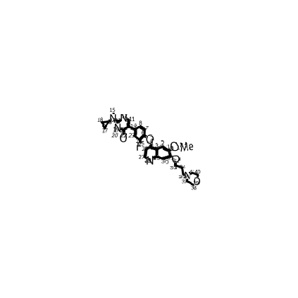 COc1cc2c(Oc3ccc(-c4cnc(N(C)C5CC5)n(C)c4=O)cc3F)ccnc2cc1OCCCN1CCOCC1